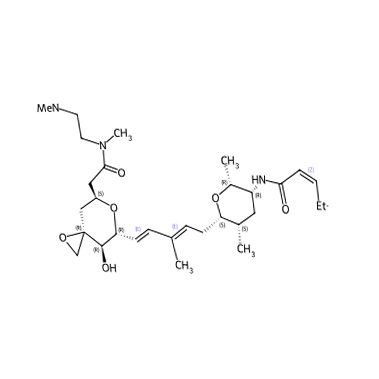 C[CH]/C=C\C(=O)N[C@@H]1C[C@H](C)[C@H](C/C=C(C)/C=C/[C@H]2O[C@H](CC(=O)N(C)CCNC)C[C@@]3(CO3)[C@@H]2O)O[C@@H]1C